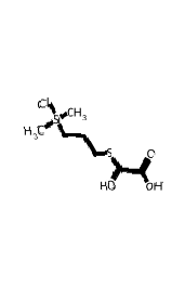 C[Si](C)(Cl)CCCSC(O)C(=O)O